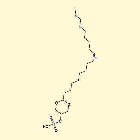 CCCCCCCC/C=C\CCCCCCCC1OCC(OS(=O)(=O)O)CO1